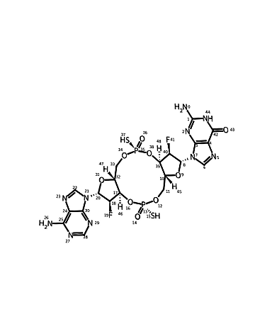 Nc1nc2c(ncn2[C@@H]2O[C@@H]3CO[P@](=O)(S)O[C@H]4[C@@H](F)[C@H](n5cnc6c(N)ncnc65)O[C@@H]4CO[P@@](=O)(S)O[C@H]3[C@H]2F)c(=O)[nH]1